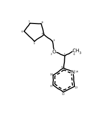 CC(OCC1CCCC1)c1ccccn1